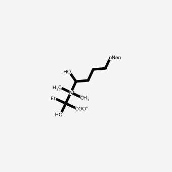 CCCCCCCCCCCCC(O)[N+](C)(C)C(O)(CC)C(=O)[O-]